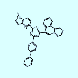 Cn1ccc2nc(-c3nc(-c4ccc(-c5ccccc5)cc4)cc(-c4cc5ccccc5c5ccccc45)n3)ccc21